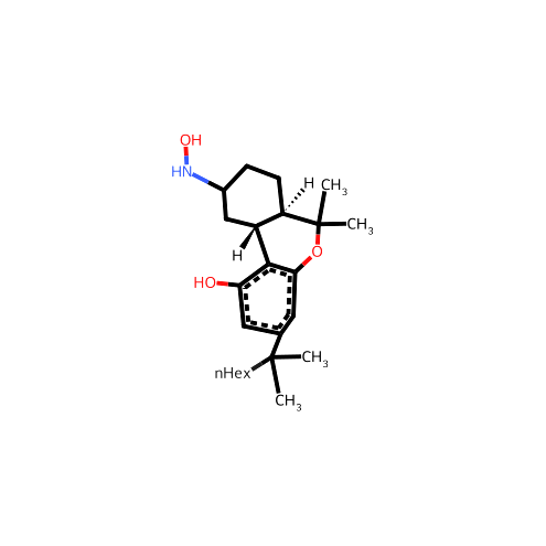 CCCCCCC(C)(C)c1cc(O)c2c(c1)OC(C)(C)[C@@H]1CCC(NO)C[C@@H]21